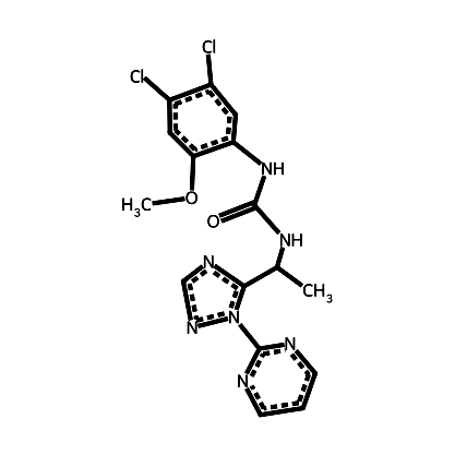 COc1cc(Cl)c(Cl)cc1NC(=O)NC(C)c1ncnn1-c1ncccn1